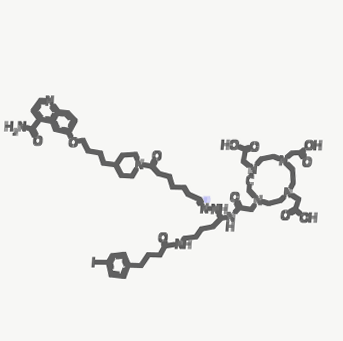 NC(=O)c1ccnc2ccc(OCCCCC3CCN(C(=O)CCCCC/C=N/NC(CCCCNC(=O)CCCc4ccc(I)cc4)NC(=O)CN4CCN(CC(=O)O)CCN(CC(=O)O)CCN(CC(=O)O)CC4)CC3)cc12